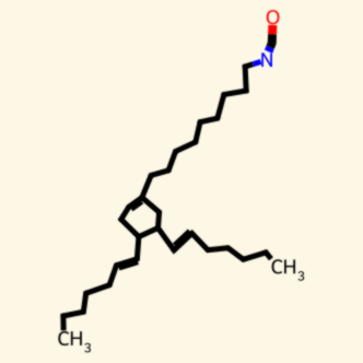 CCCCC/C=C/C1CC=C(CCCCCCCCCN=C=O)CC1/C=C/CCCCC